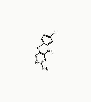 Nc1ncc(Oc2ccc(Cl)cc2)c(N)n1